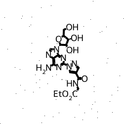 CCOC(=O)CNC(=O)c1cnn(-c2nc(N)c3ncn([C@@H]4OC(CO)[C@@H](O)C4O)c3n2)c1